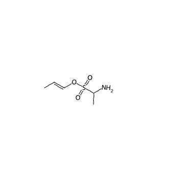 CC=COS(=O)(=O)C(C)N